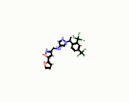 CC(c1ccc(C(F)(F)F)cc1C(F)(F)F)n1cc(NCc2cc(-c3ccco3)on2)cn1